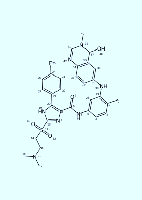 Cc1ccc(NC(=O)c2nc(S(=O)(=O)CCN(C)C)[nH]c2-c2ccc(F)cc2)cc1Nc1ccc2c(c1)C(O)N(C)C=N2